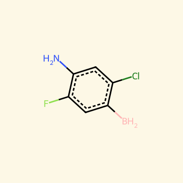 Bc1cc(F)c(N)cc1Cl